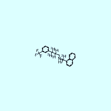 [2H]C([2H])(CN[C@]([2H])(C)c1cccc2ccccc12)C([2H])([2H])c1cccc(C(F)(F)F)c1